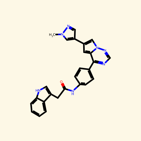 Cn1cc(-c2cc3c(-c4ccc(NC(=O)Cc5c[nH]c6ccccc56)cc4)ncnn3c2)cn1